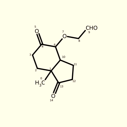 CC12CCC(=O)C(OCC=O)C1CCC2=O